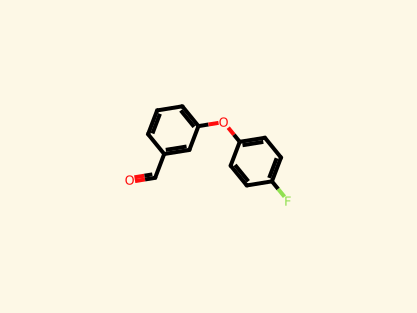 O=Cc1cccc(Oc2ccc(F)cc2)c1